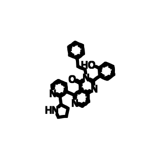 O=c1c2c(-c3cccnc3C3CCCN3)nccc2nc(-c2ccccc2O)n1CCc1ccccc1